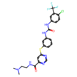 CN(C)CCNC(=O)c1cc(Sc2cccc(NC(=O)Nc3ccc(Cl)c(C(F)(F)F)c3)c2)ncn1